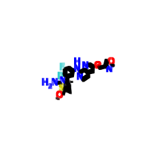 COC[C@]12C[C@H]1[C@](C)(c1cc(Nc3nccc4cc(OCc5cocn5)cnc34)cc(F)c1F)N=C(N)S2